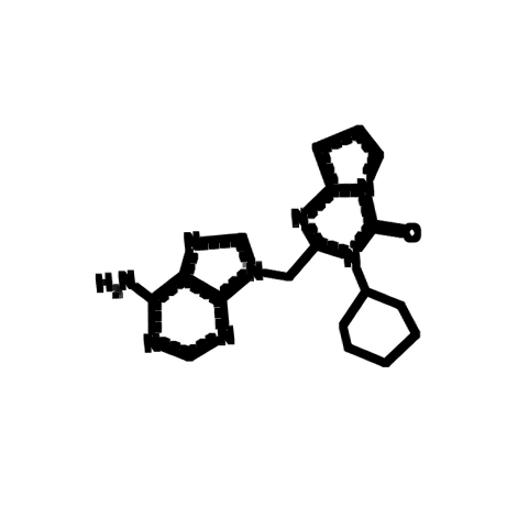 Nc1ncnc2c1ncn2Cc1nc2cccn2c(=O)n1C1CCCCC1